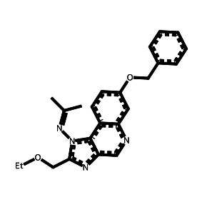 CCOCc1nc2cnc3cc(OCc4ccccc4)ccc3c2n1N=C(C)C